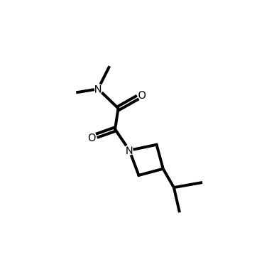 CC(C)C1CN(C(=O)C(=O)N(C)C)C1